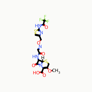 COC1=C(C(=O)O)N2C(=O)C(NC(=O)C=NOCc3csc(NC(=O)C(F)(F)F)n3)[C@@H]2SC1